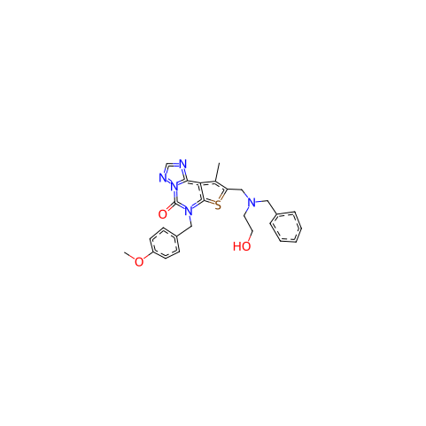 COc1ccc(Cn2c(=O)n3ncnc3c3c(C)c(CN(CCO)Cc4ccccc4)sc32)cc1